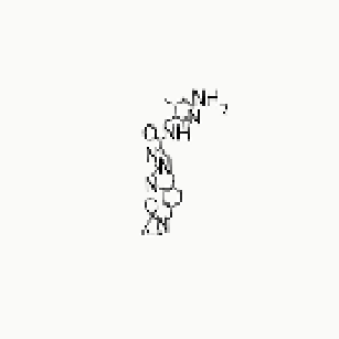 Cc1cc(N)nc(C)c1CNC(=O)c1cn2c(n1)C=Nc1cc(CN3CC4CC4C3=O)ccc1C2